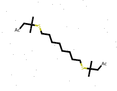 CC(=O)CC(C)(C)SCCCCCCCCSC(C)(C)CC(C)=O